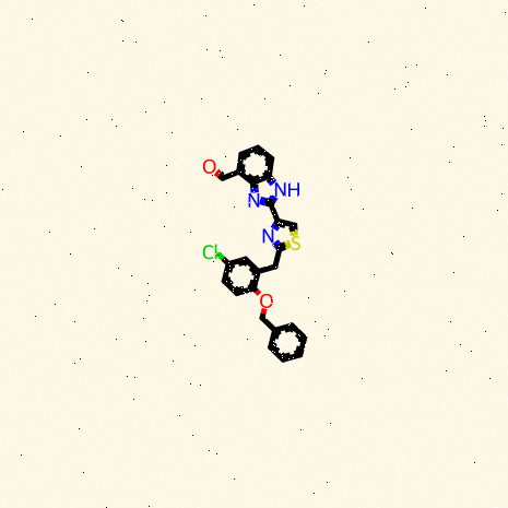 O=Cc1cccc2[nH]c(-c3csc(Cc4cc(Cl)ccc4OCc4ccccc4)n3)nc12